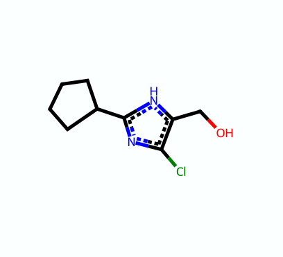 OCc1[nH]c(C2CCCC2)nc1Cl